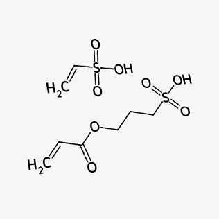 C=CC(=O)OCCCS(=O)(=O)O.C=CS(=O)(=O)O